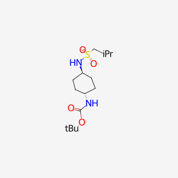 CC(C)CS(=O)(=O)N[C@H]1CC[C@H](NC(=O)OC(C)(C)C)CC1